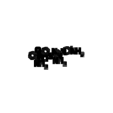 CC1(N)CCN(c2cnc(Sc3cccc(S(=O)(=O)c4ccccc4C(N)=O)c3Cl)c(N)n2)CC1